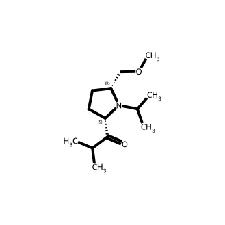 COC[C@H]1CC[C@@H](C(=O)C(C)C)N1C(C)C